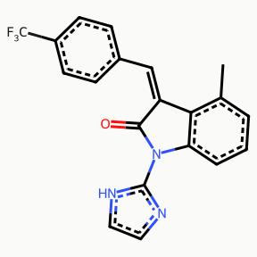 Cc1cccc2c1C(=Cc1ccc(C(F)(F)F)cc1)C(=O)N2c1ncc[nH]1